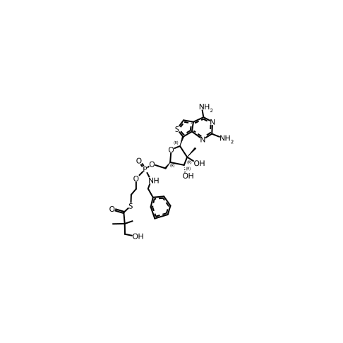 CC(C)(CO)C(=O)SCCOP(=O)(NCc1ccccc1)OC[C@H]1O[C@@H](c2scc3c(N)nc(N)nc23)[C@](C)(O)[C@@H]1O